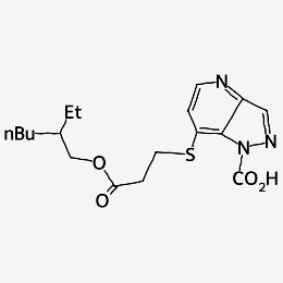 CCCCC(CC)COC(=O)CCSc1ccnc2cnn(C(=O)O)c12